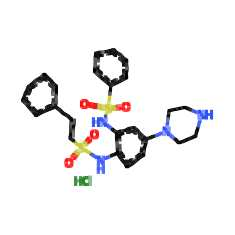 Cl.O=S(=O)(C=Cc1ccccc1)Nc1ccc(N2CCNCC2)cc1NS(=O)(=O)c1ccccc1